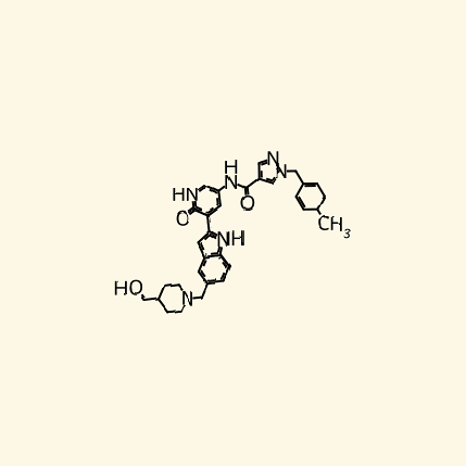 CC1C=CC(Cn2cc(C(=O)Nc3c[nH]c(=O)c(-c4cc5cc(CN6CCC(CO)CC6)ccc5[nH]4)c3)cn2)=CC1